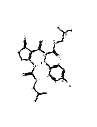 C=C(C1=C(OC(=O)OCC(C)C)CCC1=O)N(Nc1ccc(Cl)cc1)C(=O)OCC(C)C